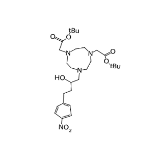 CC(C)(C)OC(=O)CN1CCN(CC(=O)OC(C)(C)C)CCN(CC(O)CCc2ccc([N+](=O)[O-])cc2)CC1